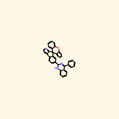 c1ccc(C2=NC(c3ccc4c(c3)C3(c5ccccc5Oc5ccccc53)c3ncccc3-4)Nc3ccccc32)cc1